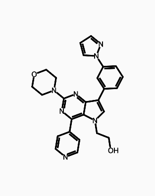 OCCn1cc(-c2cccc(-n3cccn3)c2)c2nc(N3CCOCC3)nc(-c3ccncc3)c21